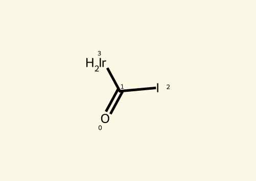 O=[C](I)[IrH2]